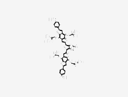 CCCCC(CC)COc1c2cc(-c3sc(-c4cc5c(OCC(CC)CCCC)c6sc(-c7ccc(O)cc7)cc6c(OCC(CC)CCCC)c5s4)c4sc(C(C)=O)nc34)sc2c(OCC(CC)CCCC)c2cc(-c3ccc(O)cc3)sc12